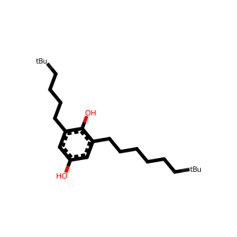 CC(C)(C)CCCCCCc1cc(O)cc(CCCCC(C)(C)C)c1O